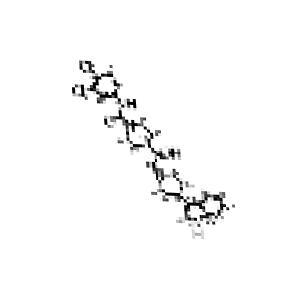 O=C(Nc1ccc(Cl)c(Cl)c1)N1CCC(C(O)CN2CCC(c3c[nH]c4ccccc34)CC2)CC1